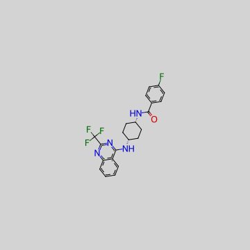 O=C(N[C@H]1CC[C@@H](Nc2nc(C(F)(F)F)nc3ccccc23)CC1)c1ccc(F)cc1